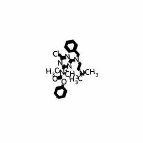 CN(C)CCN(Cc1ccccc1)c1nc(Cl)nc([N+](C)(C)C(=O)OC2=CC[CH]C=C2)n1